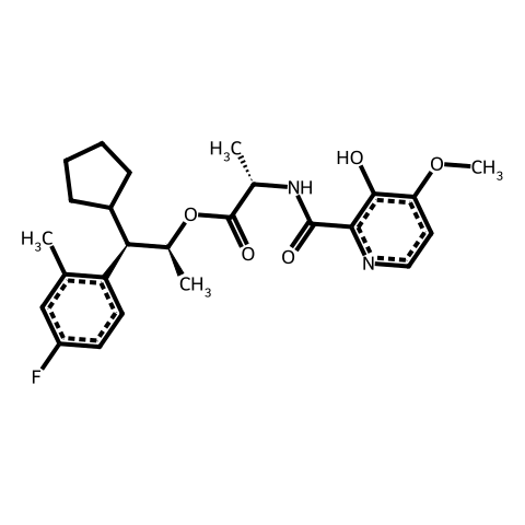 COc1ccnc(C(=O)N[C@@H](C)C(=O)O[C@@H](C)[C@@H](c2ccc(F)cc2C)C2CCCC2)c1O